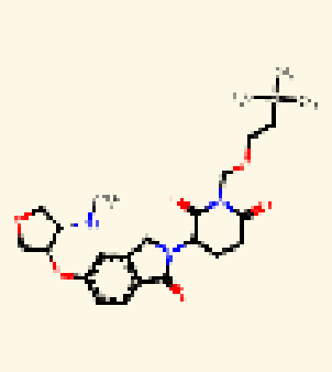 C[Si](C)(C)CCOCN1C(=O)CCC(N2Cc3cc(O[C@H]4COC[C@@H]4NC(=O)O)ccc3C2=O)C1=O